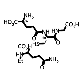 CCNC(CCC(N)=O)C(=O)O.N[C@@H](CCC(=O)N[C@@H](CS)C(=O)NCC(=O)O)C(=O)O